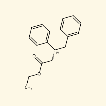 CCOC(=O)C[C@@H](Cc1ccccc1)c1ccccc1